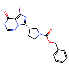 O=C(OCc1ccccc1)N1CC[C@H](c2nc(I)c3c(=O)[nH]cnn23)C1